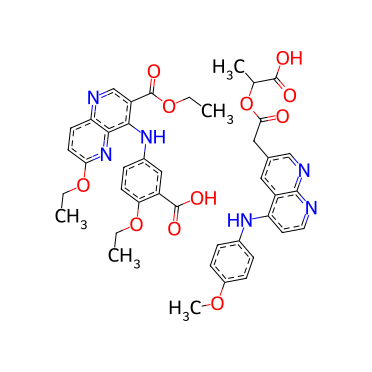 CCOC(=O)c1cnc2ccc(OCC)nc2c1Nc1ccc(OCC)c(C(=O)O)c1.COc1ccc(Nc2ccnc3ncc(CC(=O)OC(C)C(=O)O)cc23)cc1